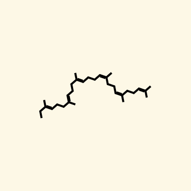 CCC(C)=CCCC(C)=CCCC(C)=CCCC=C(C)CCC=C(C)CCC=C(C)C